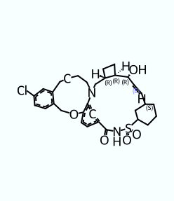 O=C1NS(=O)(=O)C2CCC[C@H](/C=C/[C@H](O)[C@@H]3CC[C@H]3CN3CCCCc4cc(Cl)ccc4COc4ccc1cc43)C2